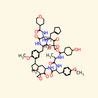 COc1ccc(CC(NC(=O)C(C)NC(=O)C2CCC(O)CC2)C(=O)NC(CC2CCCC2c2cc(CC(NC(=O)C(C)NC(=O)C3CCOCC3)C(=O)NC(CC3=CCCC3)C(=O)C3(C)CO3)ccc2OC)C(=O)C2(C)CO2)cc1